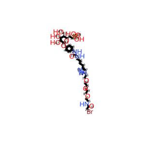 O=C(CBr)NCCOCCOCCOCCn1cc(CCCCNC(=O)Nc2ccc(O[C@H]3O[C@H](CCP(=O)(O)O)[C@@H](CO)[C@H](O)[C@@H]3O)cc2)nn1